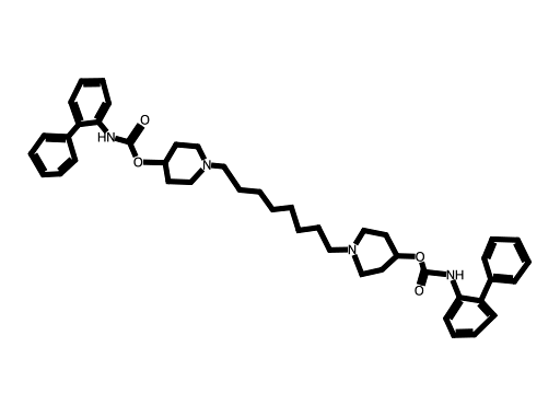 O=C(Nc1ccccc1-c1ccccc1)OC1CCN(CCCCCCCCN2CCC(OC(=O)Nc3ccccc3-c3ccccc3)CC2)CC1